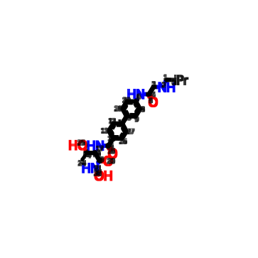 CC(C)CNCC(=O)Nc1ccc(-c2ccc(C(=O)N[C@H](C(=O)NO)[C@@H](C)O)cc2)cc1